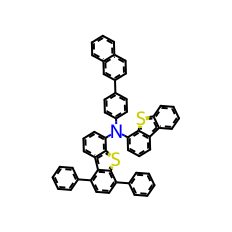 c1ccc(-c2ccc(-c3ccccc3)c3c2sc2c(N(c4ccc(-c5ccc6ccccc6c5)cc4)c4cccc5c4sc4ccccc45)cccc23)cc1